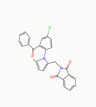 Cc1ccc(CN2C(=O)c3ccccc3C2=O)n1-c1ccc(Cl)cc1C(=O)c1ccccc1